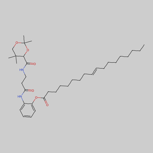 CCCCCCCCC=CCCCCCCCC(=O)Oc1ccccc1NC(=O)CCNC(=O)C1OC(C)(C)OCC1(C)C